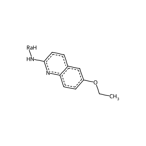 CCOc1ccc2nc([NH][RaH])ccc2c1